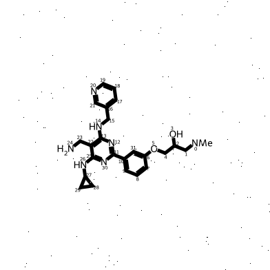 CNCC(O)COc1cccc(-c2nc(NCc3cccnc3)c(CN)c(NC3CC3)n2)c1